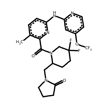 Cc1ccc(Nc2cc(OC(F)(F)F)ccn2)nc1C(=O)N1CC(F)(F)CCC1CN1CCCC1=O